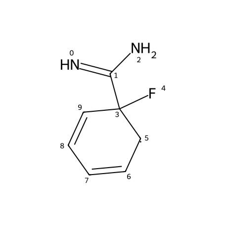 N=C(N)C1(F)[CH]C=CC=C1